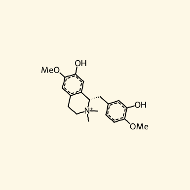 COc1ccc(C[C@H]2c3cc(O)c(OC)cc3CC[N+]2(C)C)cc1O